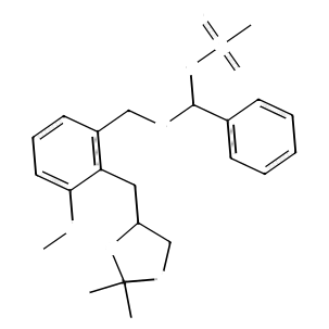 COc1cccc(COC(OS(C)(=O)=O)c2ccccc2)c1CC1COC(C)(C)O1